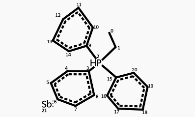 CC[PH](c1ccccc1)(c1ccccc1)c1ccccc1.[Sb]